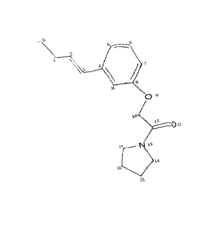 [CH2]CC=Cc1cccc(OCC(=O)N2CCCC2)c1